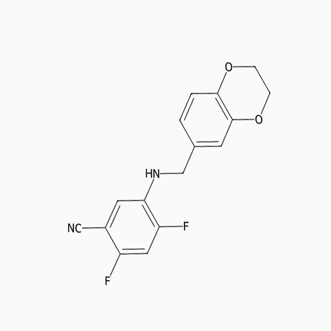 N#Cc1cc(NCc2ccc3c(c2)OCCO3)c(F)cc1F